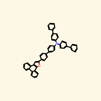 c1ccc(-c2ccc(N(c3ccc(-c4ccccc4)cc3)c3ccc(-c4ccc(-c5cc6c7ccccc7c7ccccc7c6o5)cc4)cc3)cc2)cc1